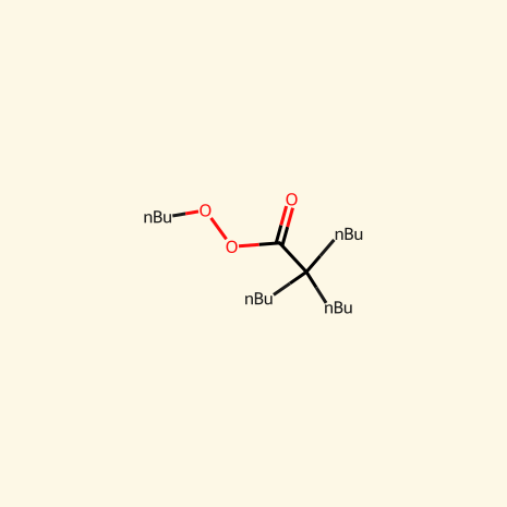 CCCCOOC(=O)C(CCCC)(CCCC)CCCC